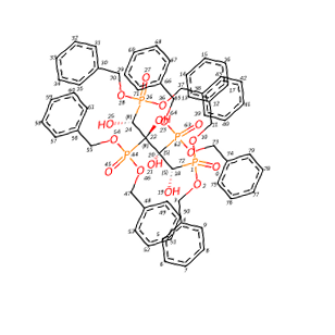 O=P(OCc1ccccc1)(OCc1ccccc1)[C@H](O)[C@@](O)([C@@](O)([C@H](O)P(=O)(OCc1ccccc1)OCc1ccccc1)P(=O)(OCc1ccccc1)OCc1ccccc1)P(=O)(OCc1ccccc1)OCc1ccccc1